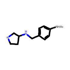 CC(=O)Nc1ccc(CNC2CC[N]C2)cc1